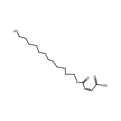 O=C(O)/C=C\C(=O)OCCCCCCCCCCCCO